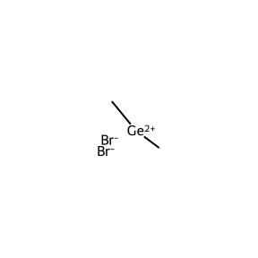 [Br-].[Br-].[CH3][Ge+2][CH3]